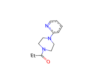 [CH2]CC(=O)N1CCN(c2ccccn2)CC1